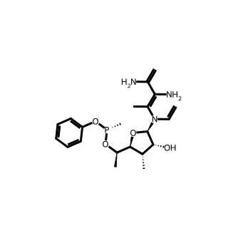 C=CN(/C(C)=C(\N)C(=C)N)[C@@H]1O[C@H]([C@@H](C)O[P@@](C)Oc2ccccc2)[C@@H](C)[C@H]1O